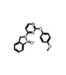 COc1ccc(Oc2nccc(N3Cc4ccccc4[S+]3[O-])n2)cc1